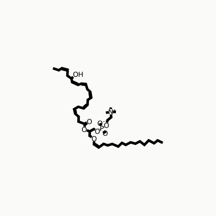 CC/C=C\CC(O)/C=C\C=C/C/C=C\C/C=C\C/C=C\CCC(=O)OC(CO/C=C\CCCCCCCCCCCCCC)COP(=O)([O-])OCC[N+](C)(C)C